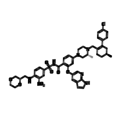 C[C@H]1CCC(CN2CCN(c3ccc(C(=O)NS(=O)(=O)c4ccc(NCC5COCCO5)c([N+](=O)[O-])c4)c(Oc4cnc5[nH]ccc5c4)c3)C[C@H]2C)=C(c2ccc(Cl)cc2)C1